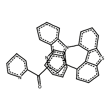 O=C(c1ccccn1)c1cc(-c2cccc3sc4cccc(-n5c6ccccc6c6ccccc65)c4c23)ccn1